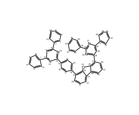 c1ccc(-c2cc(-c3ccccc3)nc(-c3ccc(-c4cccc5c4oc4c(-c6cc(-c7ccccc7)nc(-c7ccccc7)n6)cccc45)cc3)n2)cc1